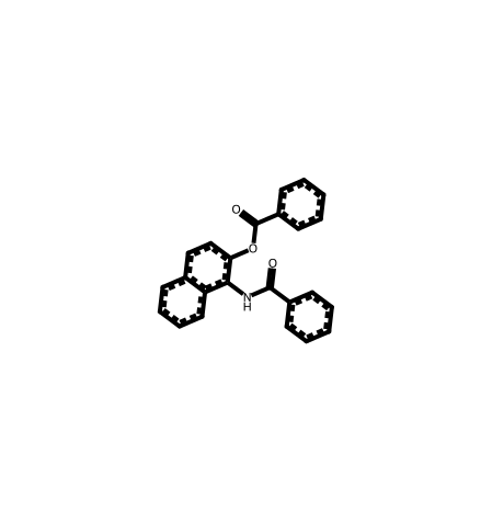 O=C(Nc1c(OC(=O)c2ccccc2)ccc2ccccc12)c1ccccc1